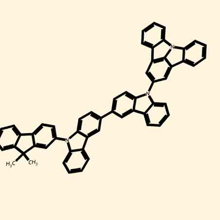 CC1(C)c2ccccc2-c2ccc(-n3c4ccccc4c4cc(-c5ccc6c(c5)c5ccccc5n6-c5cc6c7ccccc7n7c8ccccc8c(c5)c67)ccc43)cc21